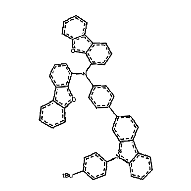 CC(C)(C)c1ccc(-n2c3ccccc3c3ccc(-c4ccc(N(c5cccc6c5oc5ccccc56)c5cccc6c5oc5ccccc56)cc4)cc32)cc1